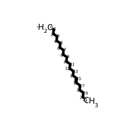 [CH2]CCCCCCCCCCCCCCC=CCCCCC